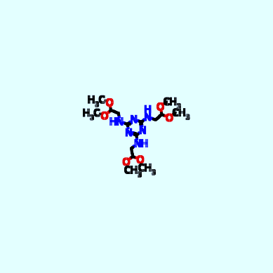 COC(CNc1nc(NCC(OC)OC)nc(NCC(OC)OC)n1)OC